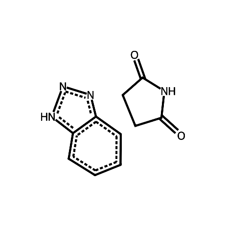 O=C1CCC(=O)N1.c1ccc2[nH]nnc2c1